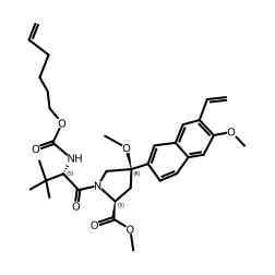 C=CCCCCOC(=O)N[C@H](C(=O)N1C[C@](OC)(c2ccc3cc(OC)c(C=C)cc3c2)C[C@H]1C(=O)OC)C(C)(C)C